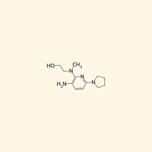 CN(CCO)c1nc(N2CCCC2)ccc1N